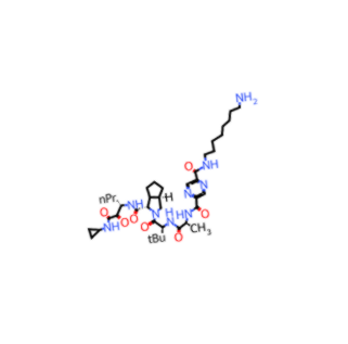 CCC[C@H](NC(=O)[C@@H]1C2CCC[C@H]2CN1C(=O)[C@@H](NC(=O)[C@H](C)NC(=O)c1cnc(C(=O)NCCCCCCCCN)cn1)C(C)(C)C)C(=O)C(=O)NC1CC1